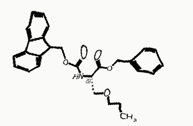 CCCOC[C@H](NC(=O)OCC1c2ccccc2-c2ccccc21)C(=O)OCc1ccccc1